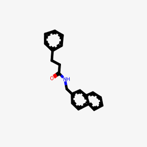 O=C(CCc1ccccc1)NCc1ccc2ccccc2c1